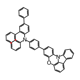 c1ccc(-c2ccc(N(c3ccccc3)c3ccc(-c4ccc5c(c4)Oc4cccc6c7ccccc7n-5c46)cc3)c(-c3ccccc3)c2)cc1